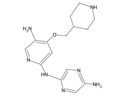 Nc1cnc(Nc2cc(OCC3CCNCC3)c(N)cn2)cn1